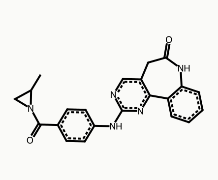 CC1CN1C(=O)c1ccc(Nc2ncc3c(n2)-c2ccccc2NC(=O)C3)cc1